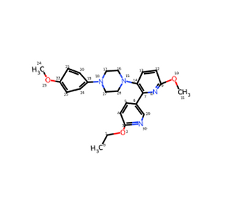 CCOc1ccc(-c2nc(OC)ccc2N2CCN(c3ccc(OC)cc3)CC2)cn1